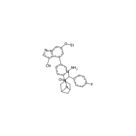 CCOc1cc(-c2ccc(N3CC4CC(C3)N4C(=O)C(CN)c3ccc(F)cc3)nc2)c2c(C#N)cnn2c1